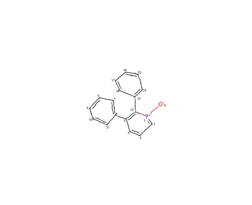 [O-][p+]1cccc(-c2ccccc2)c1-c1ccccc1